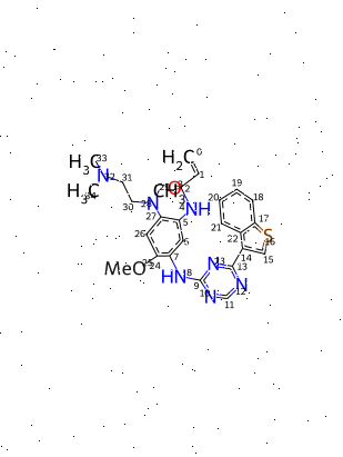 C=CC(=O)Nc1cc(Nc2ncnc(-c3csc4ccccc34)n2)c(OC)cc1N(C)CCN(C)C